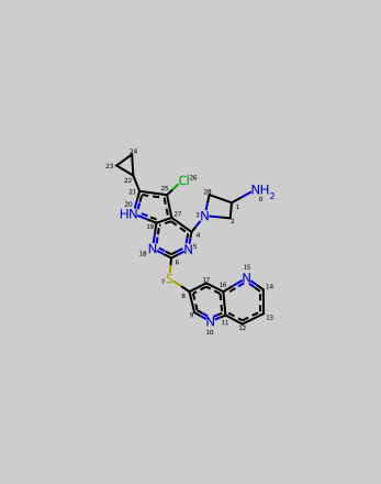 NC1CN(c2nc(Sc3cnc4cccnc4c3)nc3[nH]c(C4CC4)c(Cl)c23)C1